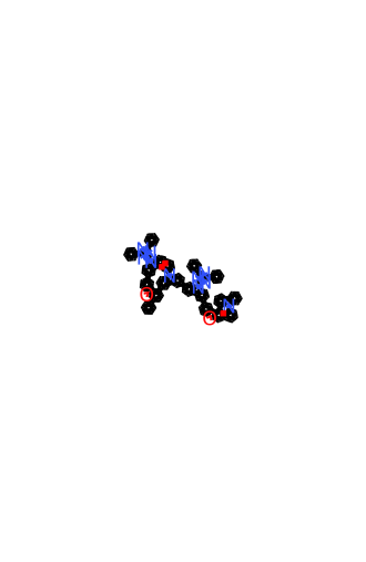 c1ccc(-c2nc(-c3ccccc3)nc(-n3c4ccccc4c4cc(-c5ccc6oc7c(-c8ccccc8)ccc(-c8ccc9c(c8)c8cc(-c%10ccc%11c%12cc(-c%13ccc%14oc%15cccc(-c%16cccc%17c%18ccccc%18n(-c%18ccccc%18)c%16%17)c%15c%14c%13)ccc%12n(-c%12nc(-c%13ccccc%13)nc(-c%13ccccc%13)n%12)c%11c%10)ccc8n9-c8ccccc8)c7c6c5)ccc43)n2)cc1